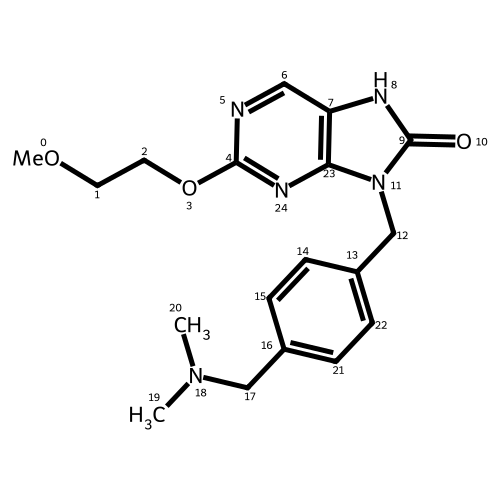 COCCOc1ncc2[nH]c(=O)n(Cc3ccc(CN(C)C)cc3)c2n1